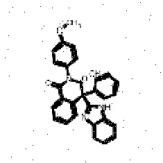 COc1ccc(N2C(=O)c3ccccc3C(c3nc4ccccc4[nH]3)(c3ccccc3O)C2=O)cc1